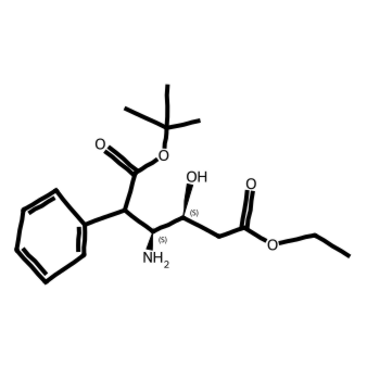 CCOC(=O)C[C@H](O)[C@@H](N)C(C(=O)OC(C)(C)C)c1ccccc1